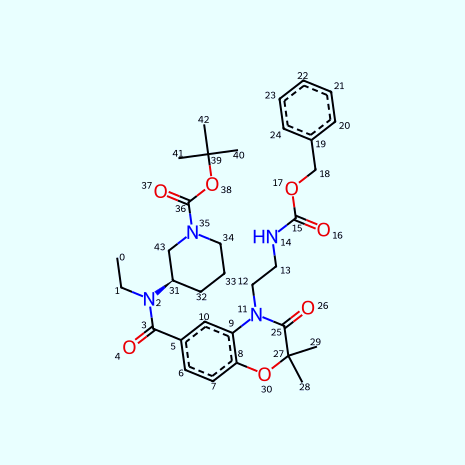 CCN(C(=O)c1ccc2c(c1)N(CCNC(=O)OCc1ccccc1)C(=O)C(C)(C)O2)[C@@H]1CCCN(C(=O)OC(C)(C)C)C1